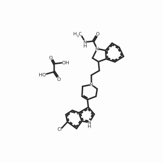 CNC(=O)N1CC(CCN2CC=C(c3c[nH]c4cc(Cl)ccc34)CC2)c2ccccc21.O=C(O)C(=O)O